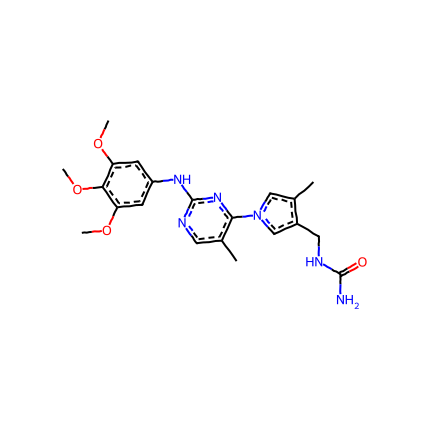 COc1cc(Nc2ncc(C)c(-n3cc(C)c(CNC(N)=O)c3)n2)cc(OC)c1OC